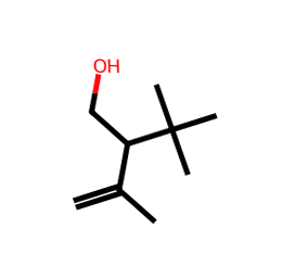 C=C(C)C(CO)C(C)(C)C